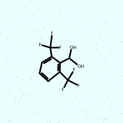 OC(O)c1c(C(F)(F)F)cccc1C(F)(F)F